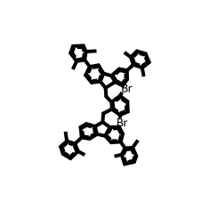 Cc1cccc(C)c1-c1ccc2c(c1)-c1cc(-c3c(C)cccc3C)ccc1C2Cc1c(Br)ccc(Br)c1CC1c2ccc(-c3c(C)cccc3C)cc2-c2cc(-c3c(C)cccc3C)ccc21